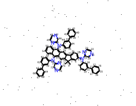 CC1(C)c2cc(N(c3cccc(-c4ccccc4)c3)c3cnccn3)ccc2-c2cc3c(N(c4cccc(-c5ccccc5)c4)c4cnccn4)c4ccccc4c(N(c4cccc(-c5ccccc5)c4)c4cnccn4)c3cc21